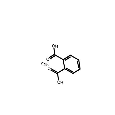 O=C(O)c1ccccc1C(=O)O.[CsH]